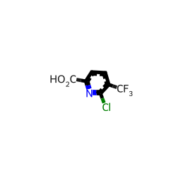 O=C(O)c1ccc(C(F)(F)F)c(Cl)n1